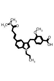 CCCn1cc(Cc2ccc(C(=O)O)cc2OC)c2cc(C=CCC(=O)N(C)C)ccc21